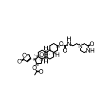 CC(=O)O[C@H]1C[C@]2(O)[C@@H]3CC[C@@H]4C[C@@H](OC(=O)NCCN5CCNC(=O)C5)CC[C@]4(C)[C@H]3CC[C@]2(C)[C@H]1C1=CC(=O)OC1